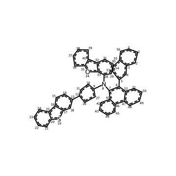 c1ccc2cc(-c3c(N(c4ccc(-c5ccc6c(c5)sc5ccccc56)cc4)c4cccc5c4oc4ccccc45)c4ccccc4c4ccccc34)ccc2c1